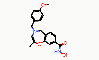 COc1ccc(CN2C=C(C)Oc3cc(C(=O)NO)ccc3C2)cc1